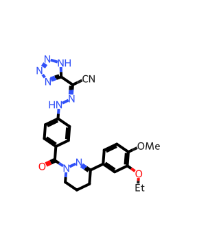 CCOc1cc(C2=NN(C(=O)c3ccc(N/N=C(/C#N)c4nnn[nH]4)cc3)CCC2)ccc1OC